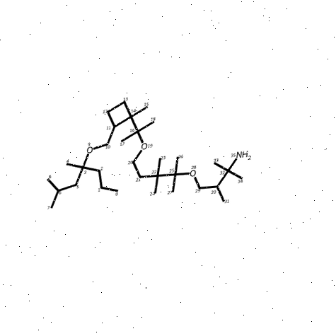 CCCC(C)(CC(C)C)OCC1CCC1(C)C(C)(C)OCCC(C)(C)C(C)(C)OCC(C)C(C)(C)N